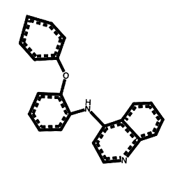 c1ccc(Oc2ccccc2Nc2ccnc3ccccc23)cc1